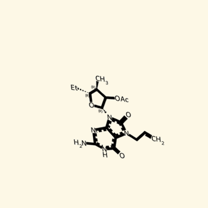 C=CCn1c(=O)n([C@@H]2O[C@H](CC)[C@@H](C)C2OC(C)=O)c2nc(N)[nH]c(=O)c21